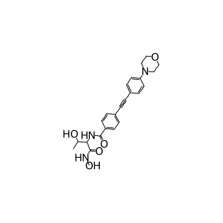 CC(O)C(NC(=O)c1ccc(C#Cc2ccc(N3CCOCC3)cc2)cc1)C(=O)NO